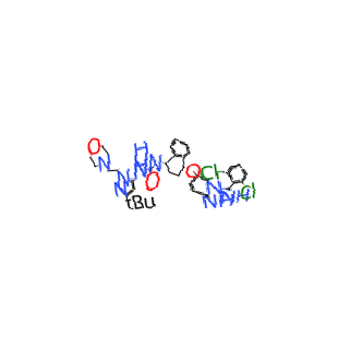 CC(C)(C)c1cc(NC(=O)N[C@H]2CC[C@@H](Oc3ccc(=N)n(C(=N)c4c(Cl)cccc4Cl)c3)c3ccccc32)n(CCN2CCOCC2)n1